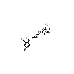 CC(C)(C)OC(=O)NCCNCOC(=O)c1ccc(F)cc1C#N